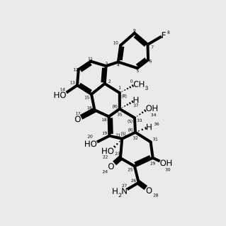 C[C@H]1c2c(-c3ccc(F)cc3)ccc(O)c2C(=O)C2=C(O)[C@]3(O)C(=O)C(C(N)=O)=C(O)C[C@@H]3[C@@H](O)[C@@H]21